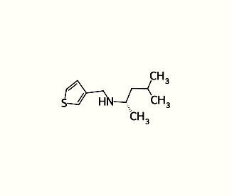 CC(C)C[C@H](C)NCc1ccsc1